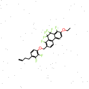 C=CCCc1ccc(OCc2ccc3c(c2F)C(F)(F)C(F)(F)c2c-3ccc(OCC)c2F)c(F)c1F